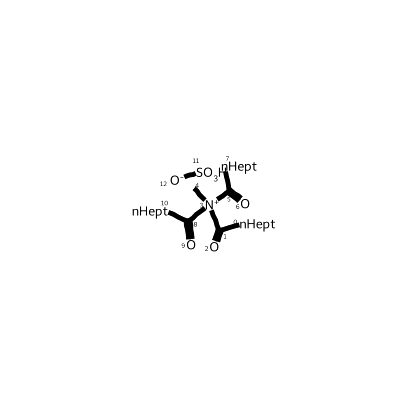 CCCCCCCC(=O)[N+](C)(C(=O)CCCCCCC)C(=O)CCCCCCC.O=S(=O)([O-])O